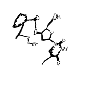 Cc1cn([C@H]2CC(OC(=O)c3ccccc3C(C)SSC(C)C)[C@@H](CO)O2)c(=O)[nH]c1=O